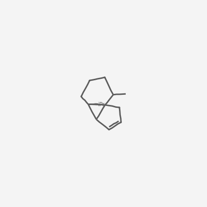 CC(C)C12CCCC(C)C13CC=CC23